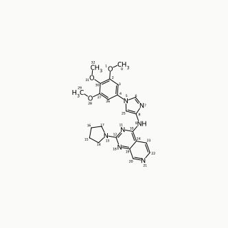 COc1cc(-n2cnc(Nc3nc(N4CCCC4)nc4cnccc34)c2)cc(OC)c1OC